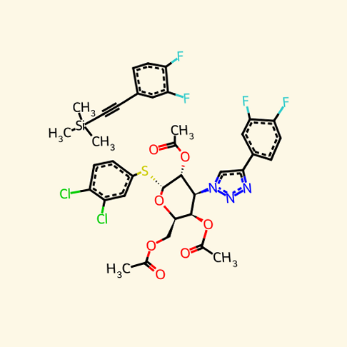 CC(=O)OC[C@H]1O[C@H](Sc2ccc(Cl)c(Cl)c2)[C@H](OC(C)=O)[C@@H](n2cc(-c3ccc(F)c(F)c3)nn2)[C@H]1OC(C)=O.C[Si](C)(C)C#Cc1ccc(F)c(F)c1